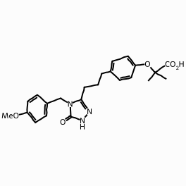 COc1ccc(Cn2c(CCCc3ccc(OC(C)(C)C(=O)O)cc3)n[nH]c2=O)cc1